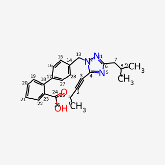 CCC#Cc1nc(CC(C)C)nn1Cc1ccc(-c2ccccc2C(=O)O)cc1